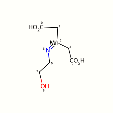 O=C(O)[CH2][Mn]([CH2]C(=O)O)=[N]CCO